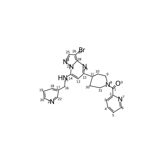 O=C(c1ccccn1)N1CCC(c2cc(NCc3cccnc3)n3ncc(Br)c3n2)CC1